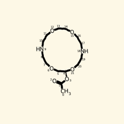 CC(=O)O[C@H]1COCCNCCOCCOCCNCCO1